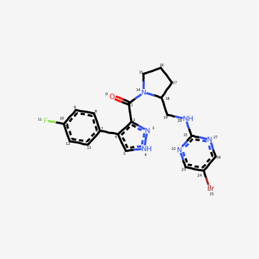 O=C(c1n[nH]cc1-c1ccc(F)cc1)N1CCCC1CNc1ncc(Br)cn1